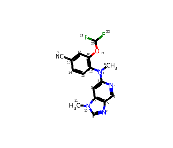 CN(c1cc2c(cn1)ncn2C)c1ccc(C#N)cc1OC(F)F